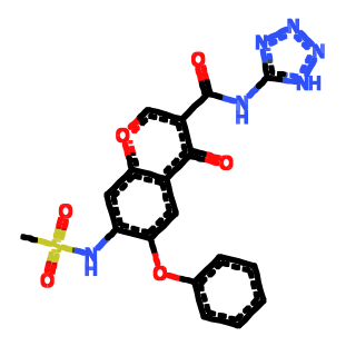 CS(=O)(=O)Nc1cc2occ(C(=O)Nc3nnn[nH]3)c(=O)c2cc1Oc1ccccc1